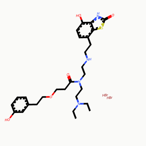 Br.Br.CCN(CC)CCN(CCNCCc1ccc(O)c2[nH]c(=O)sc12)C(=O)CCOCCc1cccc(O)c1